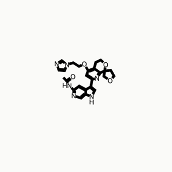 CC(=O)Nc1cc2c(-c3cc(OCCn4ccnc4)c4c(n3)C3(CCOC3)OCC4)c[nH]c2cn1